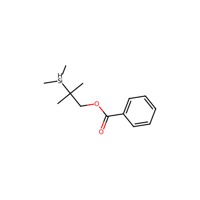 C[SiH](C)C(C)(C)COC(=O)c1ccccc1